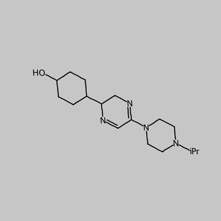 CC(C)N1CCN(C2=NCC(C3CCC(O)CC3)N=C2)CC1